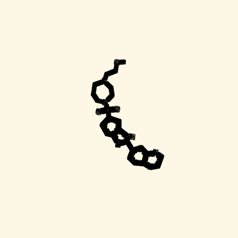 COCCN1CCCN(S(=O)(=O)c2ccc3nc(-c4ccc5cccnc5c4)[nH]c3c2)CC1